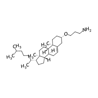 CC(C)CCCC(C)[C@H]1CC[C@H]2[C@@H]3CC=C4C[C@@H](OCCCN)CC[C@]4(C)[C@H]3CC[C@]12C